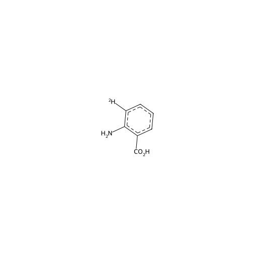 [2H]c1cccc(C(=O)O)c1N